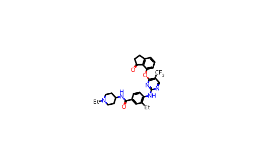 CCc1cc(C(=O)NC2CCN(CC)CC2)ccc1Nc1ncc(C(F)(F)F)c(Oc2cccc3c2C(=O)CC3)n1